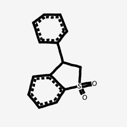 O=S1(=O)CC(c2ccccc2)c2ccccc21